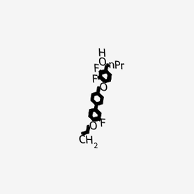 C=CCCOc1ccc(C2CCC(COc3ccc(C(O)CCC)c(F)c3F)CC2)cc1F